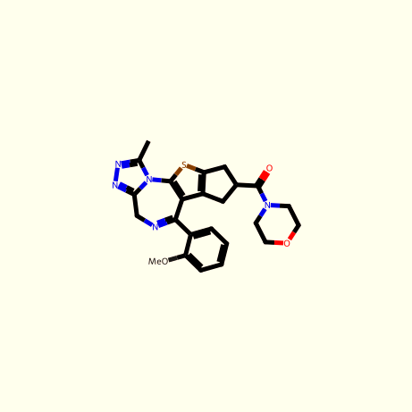 COc1ccccc1C1=NCc2nnc(C)n2-c2sc3c(c21)CC(C(=O)N1CCOCC1)C3